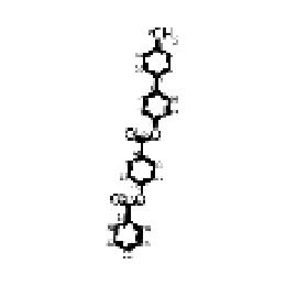 Cc1ccc(-c2ccc(OC(=O)c3ccc(OC(=O)c4ccccc4)cc3)cc2)cc1